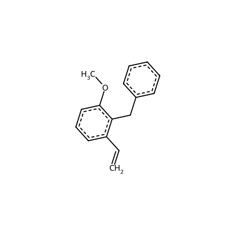 C=Cc1cccc(OC)c1Cc1ccccc1